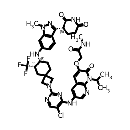 CNC(=O)COc1cc2cc(Nc3nc(N4CC5(CC[C@@H](Nc6ccc7c([C@H]8CCC(=O)NC8=O)nn(C)c7c6)[C@@H](C(F)(F)F)C5)C4)ncc3Cl)cnc2n(C(C)C)c1=O